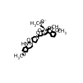 COc1ccc2c(c1)CCN(C1CCN(C(=O)Cn3cc(-c4cccc(OC)c4OC)c(=O)n(CC[S+](C)[O-])c3=O)CC1)C(=O)N2